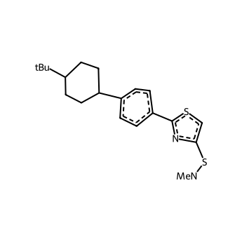 CNSc1csc(-c2ccc(C3CCC(C(C)(C)C)CC3)cc2)n1